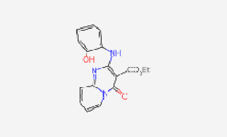 CCOC(=O)c1c(Nc2ccccc2O)nc2ccccn2c1=O